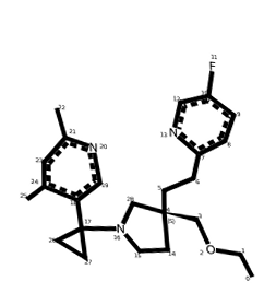 CCOC[C@@]1(CCc2ccc(F)cn2)CCN(C2(c3cnc(C)cc3C)CC2)C1